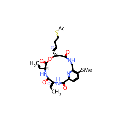 C=C[C@@H]1NC(=O)/C(=C/C)NC(=O)c2ccc(SC)c(n2)CNC(=O)C[C@@H](/C=C/CCSC(C)=O)OC1=O